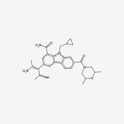 CC(=N)/C(=C(/C)N)c1cc(C(N)=O)c2c(c1)c1ccc(C(=O)N3CC(C)OC(C)C3)cc1n2CC1CC1